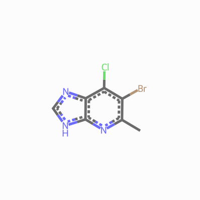 Cc1nc2[nH]cnc2c(Cl)c1Br